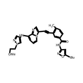 COCCn1cc(Nc2cccn3c(C#Cc4cc(C(=O)Nc5cc(C(C)(C)C)on5)ccc4C)cnc23)cn1